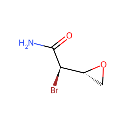 NC(=O)[C@H](Br)[C@H]1CO1